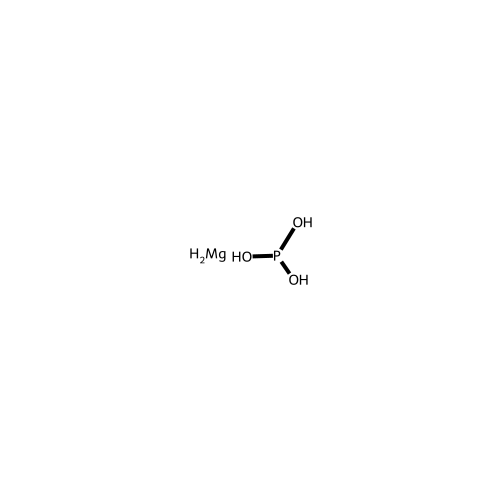 OP(O)O.[MgH2]